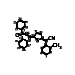 Cc1ccccc1/C(C#N)=C1C=C/C(=N\OP(=O)(c2ccccc2)c2ccccc2)S/1